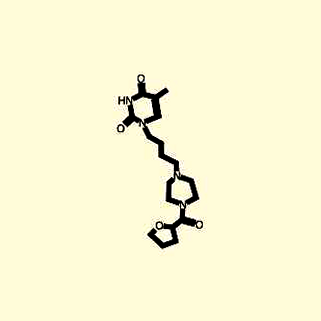 Cc1cn(CCCCN2CCN(C(=O)C3CCCO3)CC2)c(=O)[nH]c1=O